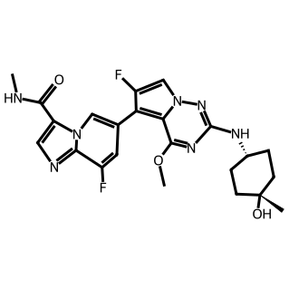 CNC(=O)c1cnc2c(F)cc(-c3c(F)cn4nc(N[C@H]5CC[C@@](C)(O)CC5)nc(OC)c34)cn12